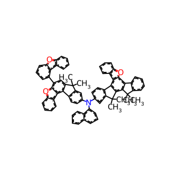 CC1(C)c2cc(N(c3ccc4c(c3)C(C)(C)c3c5c(c6oc7ccccc7c6c3-4)-c3ccccc3C5(C)C)c3cccc4ccccc34)ccc2-c2c1cc(-c1cccc3oc4ccccc4c13)c1oc3ccccc3c21